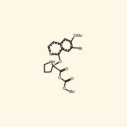 COc1cc2ccnc(O[C@@]3(C(=O)OC(=O)OC(C)(C)C)CCCN3)c2cc1Br